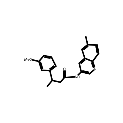 COc1cccc(C(C)CC(=O)Nc2cnc3ccc(C)cc3c2)c1